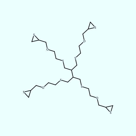 C(CSCC(CSCCOCC1CS1)C(CSCCOCC1CS1)CSCCOCC1CS1)OCC1CS1